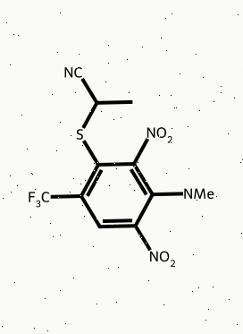 CNc1c([N+](=O)[O-])cc(C(F)(F)F)c(SC(C)C#N)c1[N+](=O)[O-]